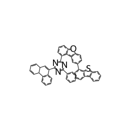 C1=CC2C=C(c3nc(-c4ccccc4)nc(-c4cccc5oc6ccc(-c7cccc8c7sc7ccccc78)cc6c45)n3)c3ccccc3C2C=C1